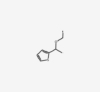 [CH2]C(OCC)c1cccs1